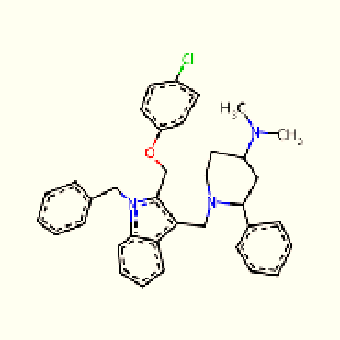 CN(C)C1CCN(Cc2c(COc3ccc(Cl)cc3)n(Cc3ccccc3)c3ccccc23)C(c2ccccc2)C1